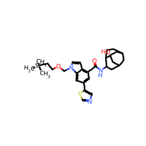 C[Si](C)(C)CCOCn1ccc2c(C(=O)NC3CC4CC5CCC3C(O)(C5)C4)cc(-c3cncs3)cc21